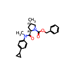 C[C@H]1C[C@H](C(=O)N(C)c2ccc(C3CC3)cc2)N(C(=O)OCc2ccccc2)C1